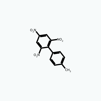 Cc1ccc(-c2c([N+](=O)[O-])cc([N+](=O)[O-])cc2[N+](=O)[O-])cc1